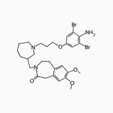 COc1cc2c(cc1OC)CC(=O)N(CC1CCCCN(CCCOc3cc(Br)c(N)c(Br)c3)C1)CC2